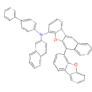 c1ccc(-c2ccc(N(c3ccc4ccccc4c3)c3cccc4c3oc3c(-c5cccc6c5oc5ccccc56)c5ccccc5cc34)cc2)cc1